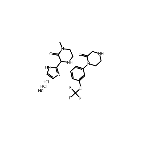 CN1CCNC(c2ncc[nH]2)C1=O.Cl.Cl.Cl.O=C1CNCCN1c1cccc(OC(F)(F)F)c1